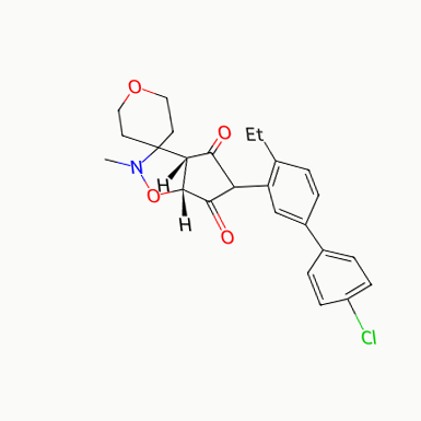 CCc1ccc(-c2ccc(Cl)cc2)cc1C1C(=O)[C@@H]2[C@@H](ON(C)C23CCOCC3)C1=O